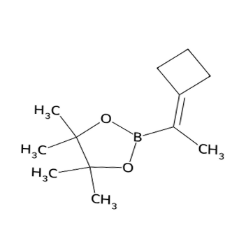 CC(B1OC(C)(C)C(C)(C)O1)=C1CCC1